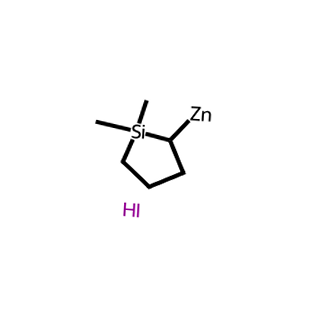 C[Si]1(C)CCC[CH]1[Zn].I